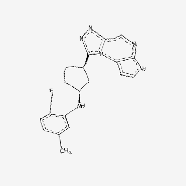 Cc1ccc(F)c(N[C@H]2CC[C@@H](c3nnc4cnc5[nH]ccc5n34)C2)c1